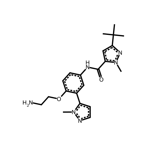 Cn1nc(C(C)(C)C)cc1C(=O)Nc1ccc(OCCN)c(-c2ccnn2C)c1